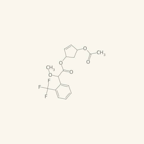 COC(C(=O)OC1C=CC(OC(C)=O)C1)c1ccccc1C(F)(F)F